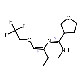 CCC(=C/OCC(F)(F)F)/N=C(\NC)C1CCOC1